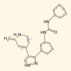 C=C/C=C(\C=C/N)c1c[nH]nc1-c1cccc(NC(=O)Nc2ccccc2)c1